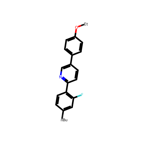 CCCCc1ccc(-c2ccc(-c3ccc(OCC)cc3)cn2)c(F)c1